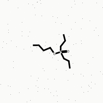 CCCCOP(=O)(CCC)CCC